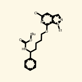 CCn1ncc2cc(Cl)nc(OCCCCC(NC(=O)OC(C)(C)C)c3ccccc3)c21